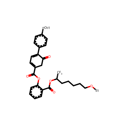 CCCCCCCCc1ccc(C2=CC=C(C(=O)Oc3ccccc3C(=O)OC(CCCCCOCC)C(F)(F)F)CC2=O)cc1